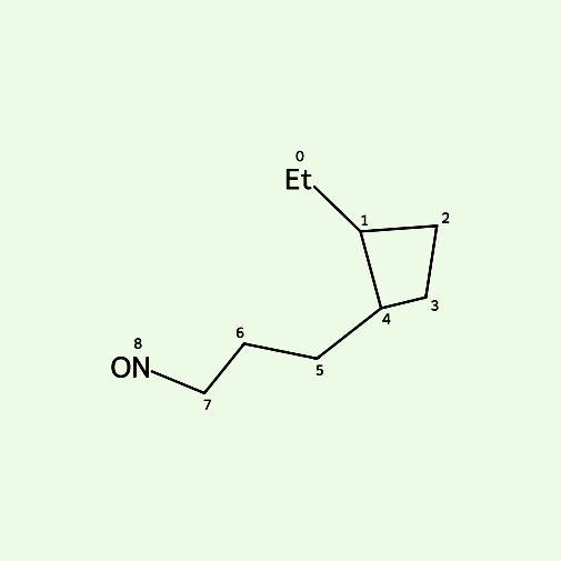 CCC1CCC1CCCN=O